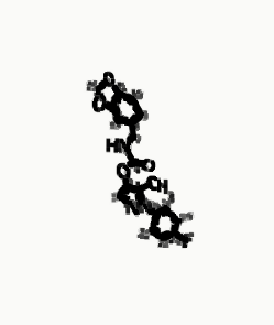 Cc1c(OC(=O)NCc2ccc3c(c2)OCO3)cnn1-c1ccc(F)cc1